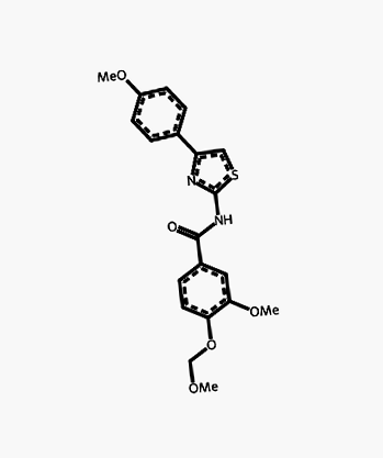 COCOc1ccc(C(=O)Nc2nc(-c3ccc(OC)cc3)cs2)cc1OC